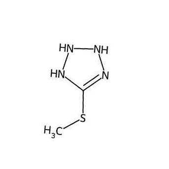 CSC1=NNNN1